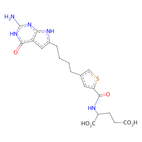 Nc1nc2[nH]c(CCCCc3csc(C(=O)NC(CCC(=O)O)C(=O)O)c3)cc2c(=O)[nH]1